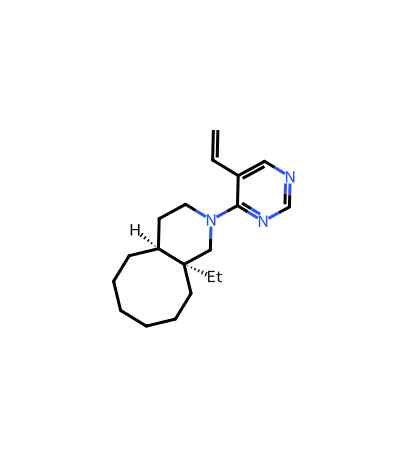 C=Cc1cncnc1N1CC[C@@H]2CCCCCC[C@]2(CC)C1